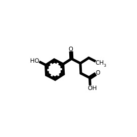 CCC(CC(=O)O)C(=O)c1cccc(O)c1